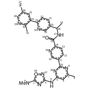 CNc1nc(Nc2cc(C)nc(-c3ccc(C(=O)NC(C)c4ccc(-c5cc(F)cnc5C)nc4)nc3)n2)no1